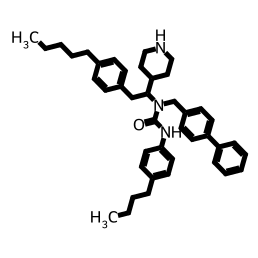 CCCCCc1ccc(CC(C2CCNCC2)N(Cc2ccc(-c3ccccc3)cc2)C(=O)Nc2ccc(CCCC)cc2)cc1